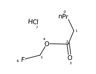 CCCCC(=O)OCF.Cl